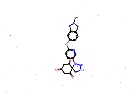 CC(C)N1Cc2ccc(Oc3ccc(N4NNCC45C(=O)CC(=O)CC5=O)cn3)cc2C1